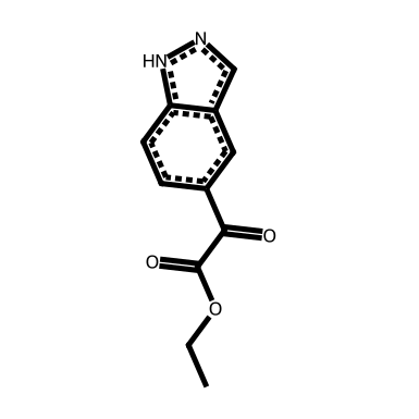 CCOC(=O)C(=O)c1ccc2[nH]ncc2c1